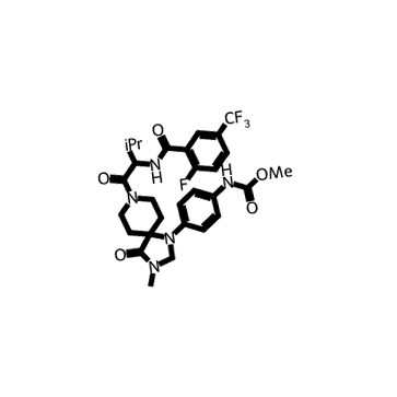 COC(=O)Nc1ccc(N2CN(C)C(=O)C23CCN(C(=O)C(NC(=O)c2cc(C(F)(F)F)ccc2F)C(C)C)CC3)cc1